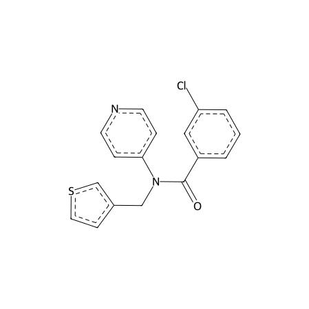 O=C(c1cccc(Cl)c1)N(Cc1ccsc1)c1ccncc1